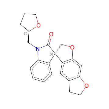 O=C1N(C[C@H]2CCCO2)c2ccccc2[C@@]12COc1cc3c(cc12)CCO3